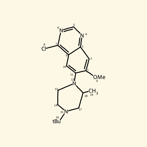 COc1cc2ncnc(Cl)c2cc1N1CCN(C(C)(C)C)CC1C